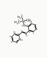 C[Si](C)(C)Oc1ccccc1/N=C/c1ncccn1